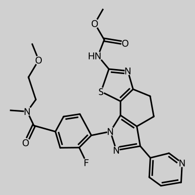 COCCN(C)C(=O)c1ccc(-n2nc(-c3cccnc3)c3c2-c2sc(NC(=O)OC)nc2CC3)c(F)c1